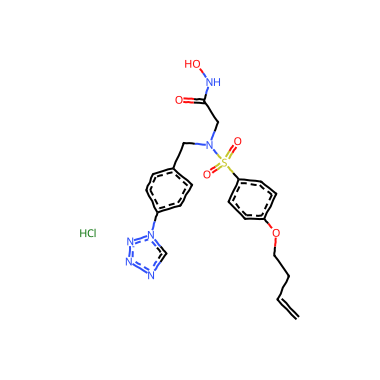 C=CCCOc1ccc(S(=O)(=O)N(CC(=O)NO)Cc2ccc(-n3cnnn3)cc2)cc1.Cl